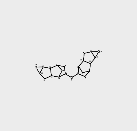 C1C2CC(C1OC1CC3CC1C1CC4OC4C31)C1CC3OC3C21